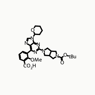 COc1c(C(=O)O)cccc1-c1nc(N2CC3CN(C(=O)OC(C)(C)C)CC3C2)nc2c1ncn2C1CCCCO1